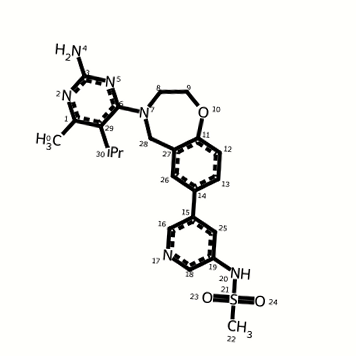 Cc1nc(N)nc(N2CCOc3ccc(-c4cncc(NS(C)(=O)=O)c4)cc3C2)c1C(C)C